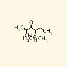 C=C(C)C(=O)C(CC)[SiH](C)C